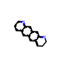 C1=c2cc3cc4cccnc4cc3cc2=NCC1